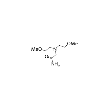 COCCN(CCOC)CC(N)=O